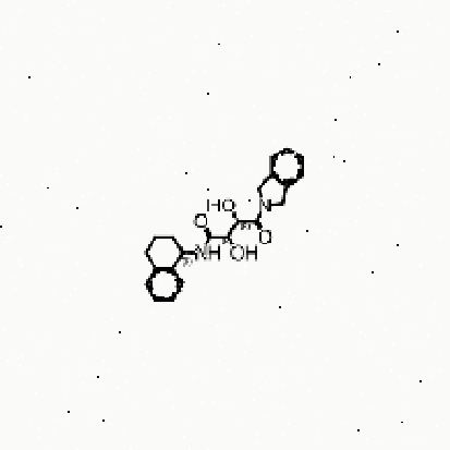 O=C(N[C@@H]1CCCc2ccccc21)[C@H](O)[C@@H](O)C(=O)N1Cc2ccccc2C1